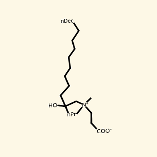 CCCCCCCCCCCCCCCCCCC(O)(CCC)C[N+](C)(C)CCC(=O)[O-]